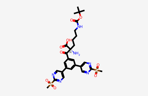 CC(C)(C)OC(=O)NCCCC[C@](N)(C(=O)O)C(=O)c1cc(-c2cnc(S(C)(=O)=O)nc2)cc(-c2cnc(S(C)(=O)=O)nc2)c1